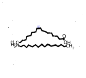 CCCCCCCC/C=C\CCCCCCCC(=O)O.CCCCCCCCCCCCCCCCN